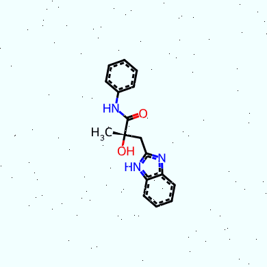 C[C@](O)(Cc1nc2ccccc2[nH]1)C(=O)Nc1ccccc1